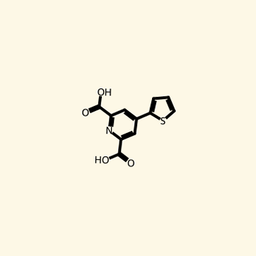 O=C(O)c1cc(-c2cccs2)cc(C(=O)O)n1